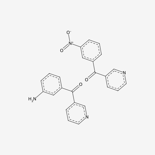 Nc1cccc(C(=O)c2cccnc2)c1.O=C(c1cccnc1)c1cccc([N+](=O)[O-])c1